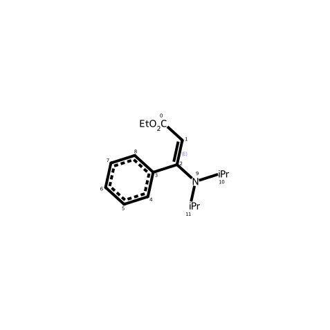 CCOC(=O)/C=C(\c1ccccc1)N(C(C)C)C(C)C